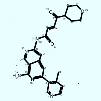 Cc1ccncc1-c1cc2cc(NC(=O)/C=C/C(=O)C3CCOCC3)ncc2c(N)n1